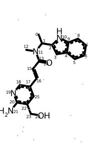 CC(c1cc2ccccc2[nH]1)N(C)C(=O)C=Cc1cnc(N)c(CO)c1